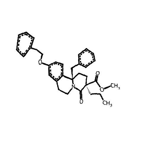 CCC[C@@]1(C(=O)OC)CC[C@@]2(Cc3ccccc3)c3ccc(OCc4ccccc4)cc3CCN2C1=O